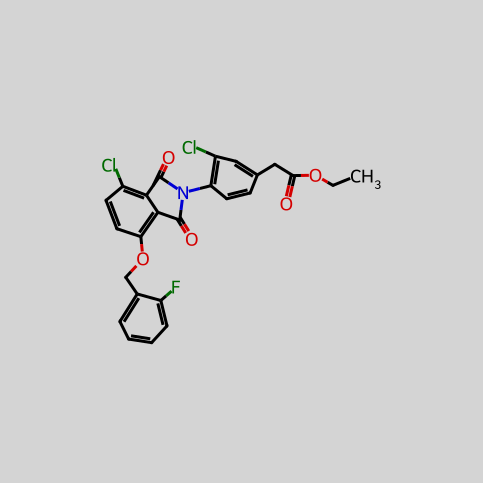 CCOC(=O)Cc1ccc(N2C(=O)c3c(Cl)ccc(OCc4ccccc4F)c3C2=O)c(Cl)c1